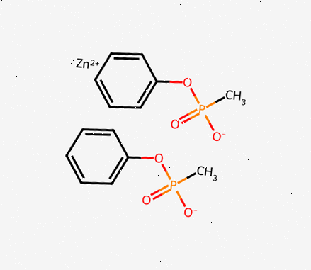 CP(=O)([O-])Oc1ccccc1.CP(=O)([O-])Oc1ccccc1.[Zn+2]